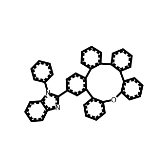 c1ccc(-n2c(-c3ccc4c(c3)-c3ccccc3Oc3ccccc3-c3ccccc3-c3ccccc3-4)nc3ccccc32)cc1